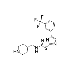 FC(F)(F)c1cccc(-c2cnc3sc(NCC4CCNCC4)nn23)c1